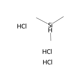 C[SiH](C)C.Cl.Cl.Cl